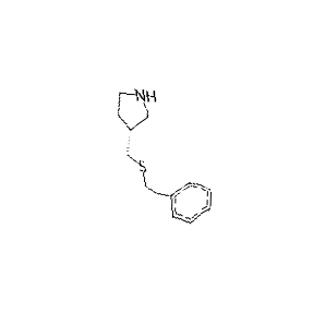 c1ccc(CSC[C@@H]2CCNC2)cc1